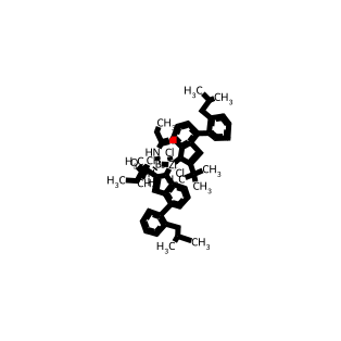 CCC(=O)N[B](NC(=O)CC)[Zr]([Cl])([Cl])([CH]1C(C(C)(C)C)=Cc2c(-c3ccccc3CC(C)C)cccc21)[CH]1C(C(C)(C)C)=Cc2c(-c3ccccc3CC(C)C)cccc21